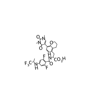 CC(Nc1cc(F)c(C(=O)NC(Cc2ccc(-c3cn(C)c(=O)n(C)c3=O)c3c2CCCO3)C(=O)O)c(F)c1)C(F)(F)F